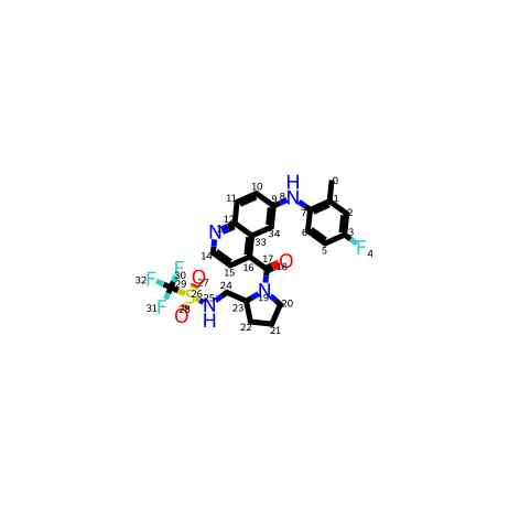 Cc1cc(F)ccc1Nc1ccc2nccc(C(=O)N3CCCC3CNS(=O)(=O)C(F)(F)F)c2c1